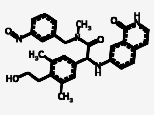 Cc1cc(C(Nc2ccc3cc[nH]c(=O)c3c2)C(=O)N(C)Cc2cccc(N=O)c2)cc(C)c1CCO